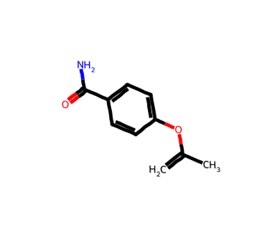 C=C(C)Oc1ccc(C(N)=O)cc1